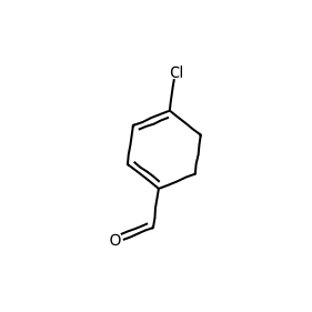 O=CC1=CC=C(Cl)CC1